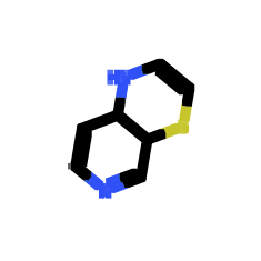 [C]1=CC2NC=CSC2C=N1